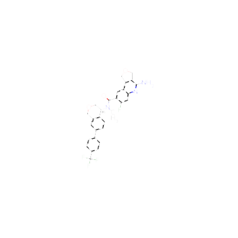 CN(C(=O)c1cc2c3c(c(N)nc2cc1F)COC3)[C@H]1COCc2cc(-c3ccc(C(F)(F)F)cc3)ccc21